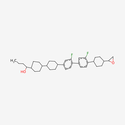 CCCC(O)C1CCC(C2CCC(c3ccc(-c4ccc(C5CCC(C6CO6)CC5)c(F)c4)c(F)c3)CC2)CC1